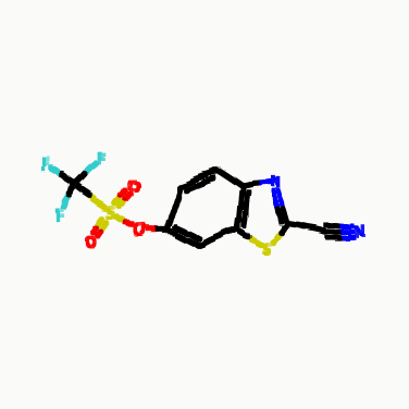 N#Cc1nc2ccc(OS(=O)(=O)C(F)(F)F)cc2s1